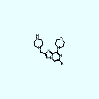 Brc1cn2cc(CN3CCNCC3)nc2c(N2CCOCC2)n1